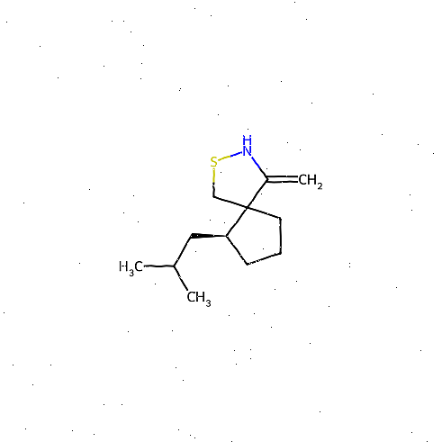 C=C1NSCC12CCC[C@H]2CC(C)C